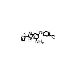 COc1ccc(Oc2cc(N)n3nc(-c4ccco4)nc3c2)cc1